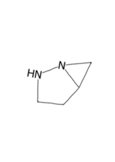 C1CC2CN2N1